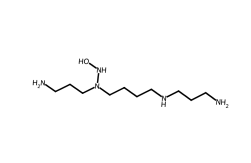 NCCCNCCCCN(CCCN)NO